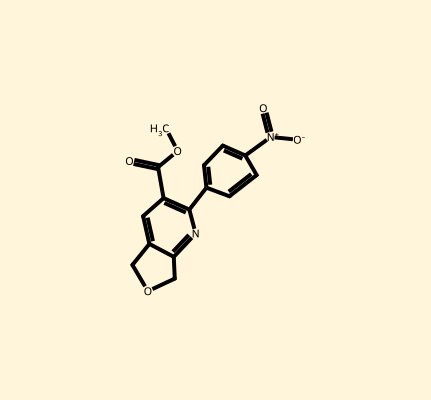 COC(=O)c1cc2c(nc1-c1ccc([N+](=O)[O-])cc1)COC2